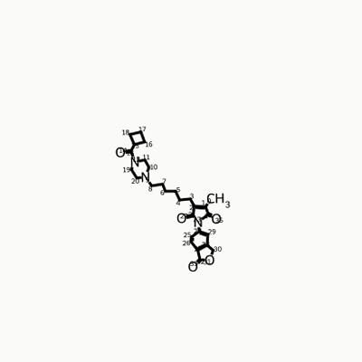 CC1=C(CCCCCCN2CCN(C(=O)C3CCC3)CC2)C(=O)N(c2ccc3c(c2)COC3=O)C1=O